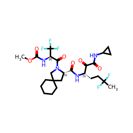 COC(=O)N[C@H](C(=O)N1CC2(CCCCC2)C[C@H]1C(=O)N[C@@H](CCC(C)(F)F)C(=O)C(=O)NC1CC1)C(F)(F)F